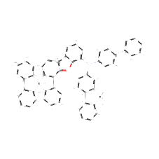 CC1(C)c2ccccc2-c2ccc(N(c3ccc(-c4ccccc4)cc3)c3cccc4c3oc3c5c(ccc34)C3(c4ccccc4-c4ccccc43)c3ccccc3-5)cc21